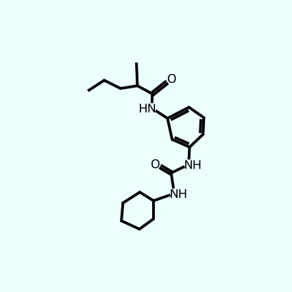 CCCC(C)C(=O)Nc1cccc(NC(=O)NC2CCCCC2)c1